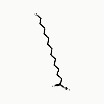 NC(=O)CCCCCCCCCCCCC[O]